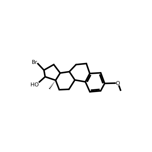 COc1ccc2c(c1)CCC1C2CC[C@@]2(C)C(O)C(Br)CC12